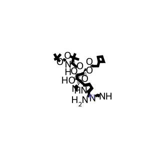 CC(C)(C)OC(=O)N[C@H](C(=O)O[C@H]1[C@@H](O)[C@](C#N)(c2ccc(/C(N)=N\C=N)[nH]2)O[C@@H]1COC(=O)CC1CCC1)C(C)(C)C